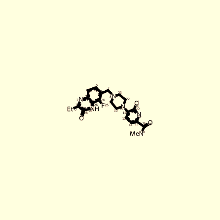 CCc1nc2ccc(CN3CCN(c4ccc(C(=O)NC)nc4Cl)CC3)c(F)c2[nH]c1=O